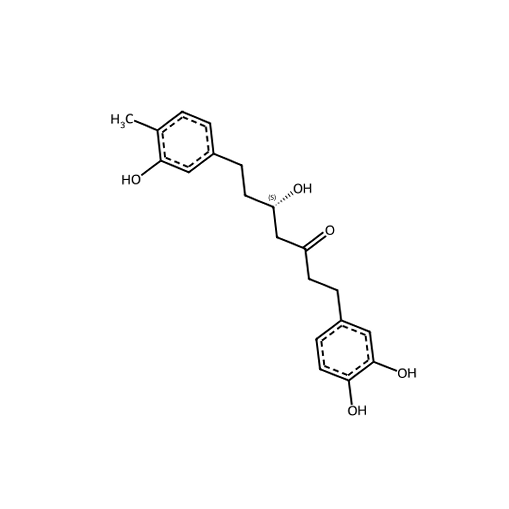 Cc1ccc(CC[C@H](O)CC(=O)CCc2ccc(O)c(O)c2)cc1O